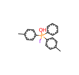 Cc1ccc(P(O)(I)(c2ccccc2)c2ccc(C)cc2)cc1